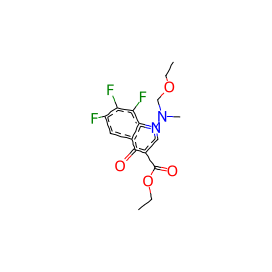 CCOCN(C)n1cc(C(=O)OCC)c(=O)c2cc(F)c(F)c(F)c21